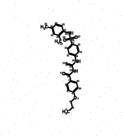 CCCOc1ccc(C(=O)NC(=S)Nc2ccc(S(=O)(=O)Nc3ccc(C)cc3C)cc2)cc1